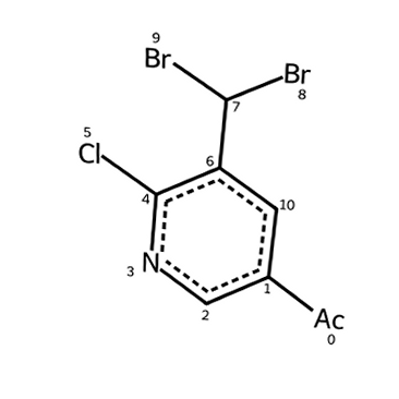 CC(=O)c1cnc(Cl)c(C(Br)Br)c1